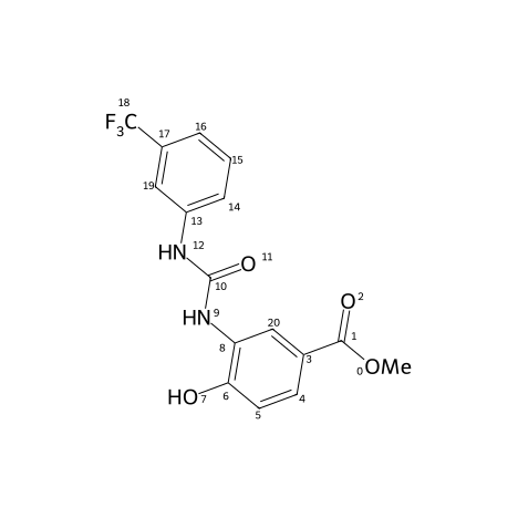 COC(=O)c1ccc(O)c(NC(=O)Nc2cccc(C(F)(F)F)c2)c1